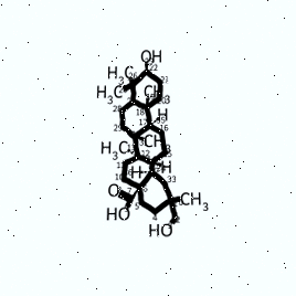 CC1(CO)CC[C@]2(C(=O)O)CC[C@]3(C)[C@H](CC[C@@H]4[C@@]5(C)CC[C@H](O)C(C)(C)C5CC[C@]43C)[C@H]2C1